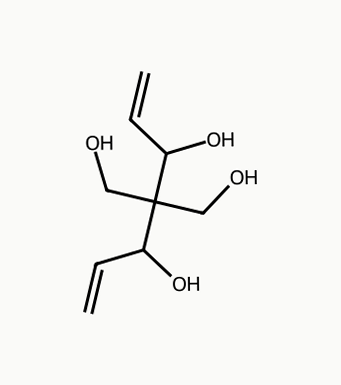 C=CC(O)C(CO)(CO)C(O)C=C